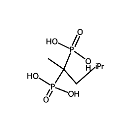 CC(C)CC(C)(P(=O)(O)O)P(=O)(O)O